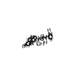 C/C(=N\OC(=O)NC[C@@H]1CCCCN1)[C@H]1CCC2[C@@H]3CCC4=CC(=O)CC[C@]4(C)[C@H]3CC[C@@]21C.Cl